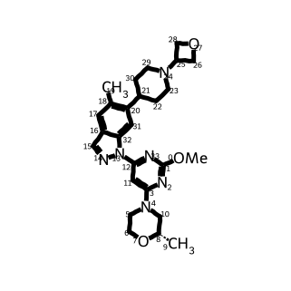 COc1nc(N2CCO[C@@H](C)C2)cc(-n2ncc3cc(C)c(C4CCN(C5COC5)CC4)cc32)n1